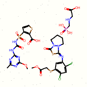 COC(=O)CSc1cc(/N=c2\sc(=O)n3n2CCCC3)c(F)cc1Cl.COc1nc(C)nc(NC(=O)NS(=O)(=O)c2ccsc2C(=O)O)n1.O=C(O)CNCP(=O)(O)O